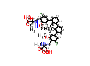 COc1cc(-c2cccc(-c3cccc(-c4cc(F)c(CN[C@@](C)(CO)C(=O)O)c(OC)c4)c3C)c2C)cc(F)c1CNC(C)(CO)C(=O)O